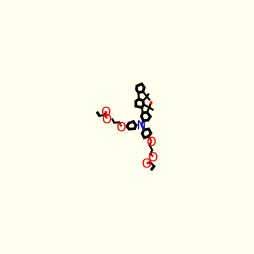 C=CC(=O)OCCCOc1ccc(N(c2ccc(OCCCOC(=O)C=C)cc2)c2ccc3c(c2)-c2ccc4c(c2C3(C)C)C(C)(C)c2ccccc2-4)cc1